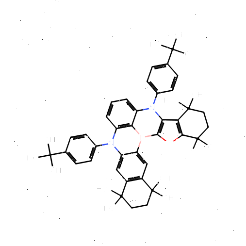 CC(C)(C)c1ccc(N2c3cc4c(cc3B3c5oc6c(c5N(c5ccc(C(C)(C)C)cc5)c5cccc2c53)C(C)(C)CCC6(C)C)C(C)(C)CCC4(C)C)cc1